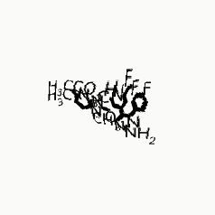 Cc1cc(-c2c(OCc3nc4nc(C(C)(C)C(=O)O)ccc4n3C)nc(N)nc2-c2ccc(F)cc2)cc(C(F)F)n1